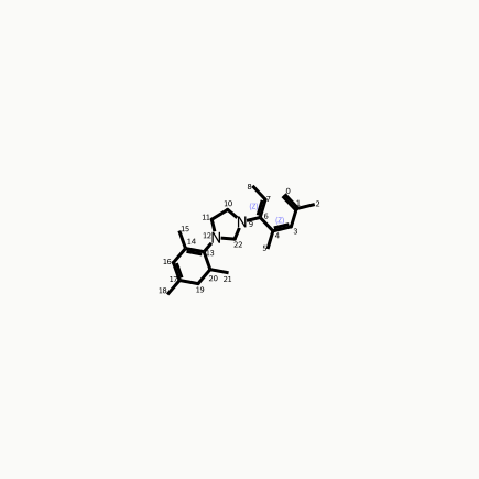 C=C(C)/C=C(C)\C(=C\C)N1CCN(C2=C(C)C=C(C)CC2C)C1